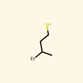 [CH2]CC(C)CCS